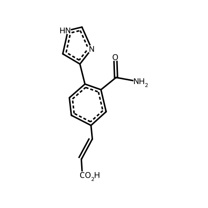 NC(=O)c1cc(C=CC(=O)O)ccc1-c1c[nH]cn1